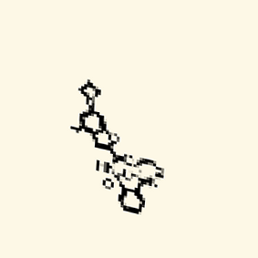 O=C(NS(=O)(=O)c1ccccc1C1=NOCCO1)c1cc2c(F)cc(N3CCC3)cc2o1